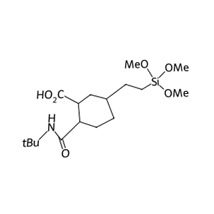 CO[Si](CCC1CCC(C(=O)NC(C)(C)C)C(C(=O)O)C1)(OC)OC